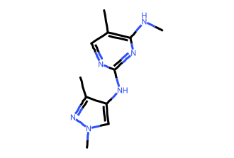 CNc1nc(Nc2cn(C)nc2C)ncc1C